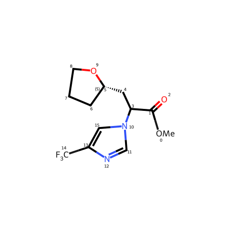 COC(=O)C(C[C@@H]1CCCO1)n1cnc(C(F)(F)F)c1